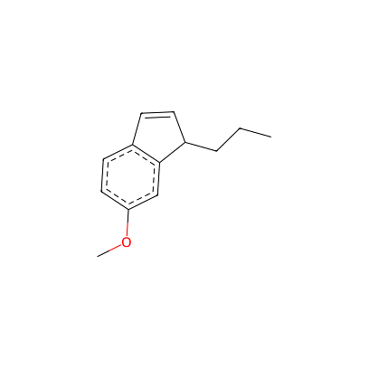 CCCC1C=Cc2ccc(OC)cc21